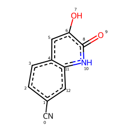 N#Cc1ccc2cc(O)c(=O)[nH]c2c1